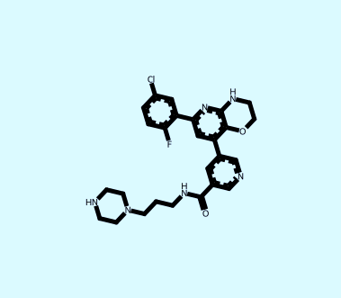 O=C(NCCCN1CCNCC1)c1cncc(-c2cc(-c3cc(Cl)ccc3F)nc3c2OCCN3)c1